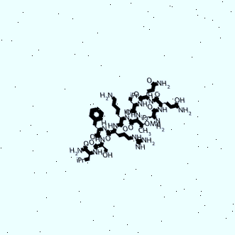 CO[C@H](C)[C@H](NC(=O)[C@H](CC(C)C)NC(=O)[C@H](CCC(N)=O)NC(=O)[C@H](CCC(N)O)NC(=O)[C@@H](N)C(C)C)C(=O)N[C@@H](CCCCN)C(=O)N[C@@H](CCCNC(=N)N)C(=O)N[C@@H](Cc1ccccc1)C(=O)N[C@@H](CO)C(=O)N[C@@H](CC(C)C)C(N)=O